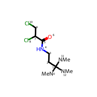 CNC(CCNC(=O)C(Cl)CCl)(NC)NC